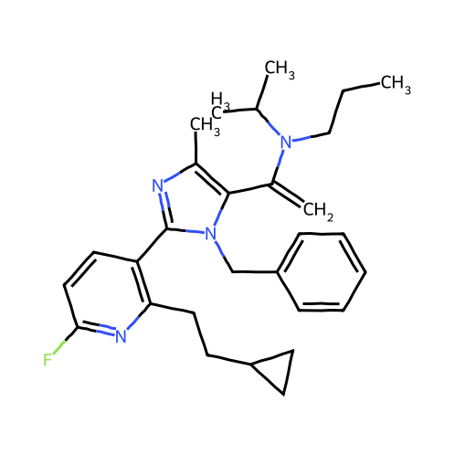 C=C(c1c(C)nc(-c2ccc(F)nc2CCC2CC2)n1Cc1ccccc1)N(CCC)C(C)C